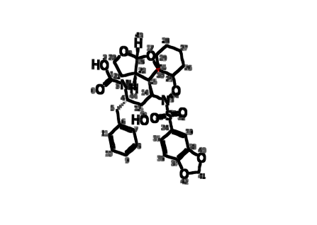 O=C(O)N[C@@H](Cc1ccccc1)[C@@H](O)C([C@@H]1CO[C@H]2OCC[C@H]21)N(OC1CCCCC1)S(=O)(=O)c1ccc2c(c1)OCO2